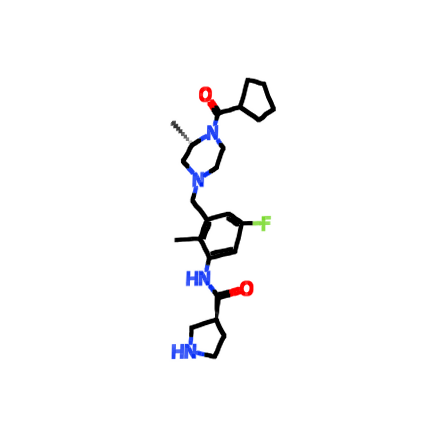 Cc1c(CN2CCN(C(=O)C3CCCC3)[C@@H](C)C2)cc(F)cc1NC(=O)[C@H]1CCNC1